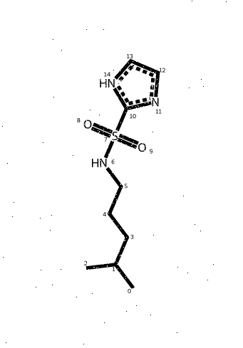 CC(C)CCCNS(=O)(=O)c1ncc[nH]1